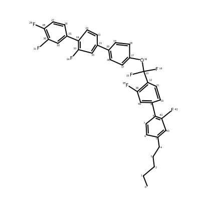 CCCCCc1ccc(-c2ccc(C(F)(F)Oc3ccc(-c4ccc(-c5ccc(F)c(F)c5)c(F)c4)cc3)c(F)c2)c(F)c1